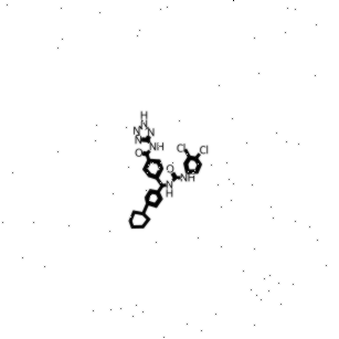 O=C(Nc1ccc(Cl)c(Cl)c1)NC(c1ccc(C(=O)Nc2nn[nH]n2)cc1)c1ccc(C2CCCCC2)cc1